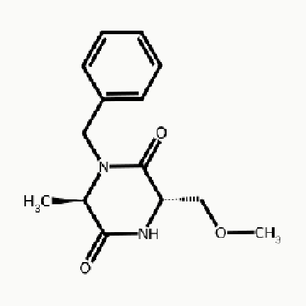 COC[C@@H]1NC(=O)[C@@H](C)N(Cc2ccccc2)C1=O